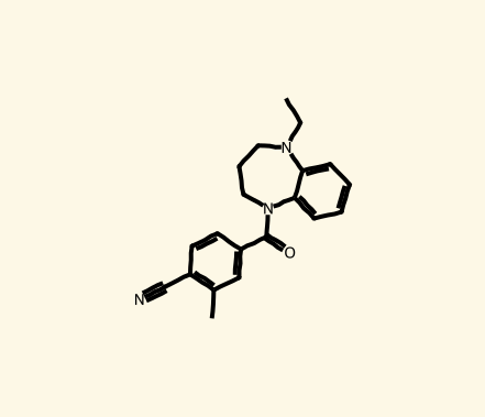 CCN1CCCN(C(=O)c2ccc(C#N)c(C)c2)c2ccccc21